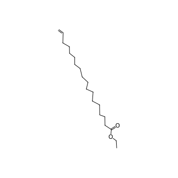 C=CCCCCCCCCCCCCCCCC(=O)OCC